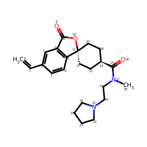 C=Cc1ccc2c(c1)C(=O)O[C@]21CC[C@H](C(=O)N(C)CCN2CCCC2)CC1